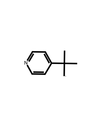 [CH2]C(C)(C)c1ccncc1